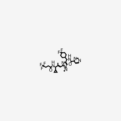 C=Nn1cc([C@@H](NC(=O)c2ccncn2)C2CCC(F)(F)CC2)nc1/C=C(\C)[C@H](NC(=O)CCC(F)(F)F)C1CC1